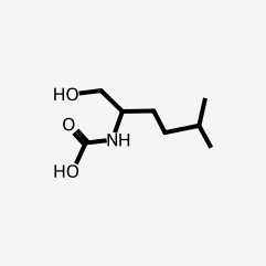 CC(C)CCC(CO)NC(=O)O